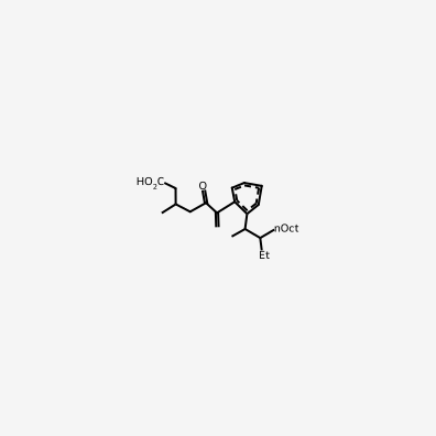 C=C(C(=O)CC(C)CC(=O)O)c1ccccc1C(C)C(CC)CCCCCCCC